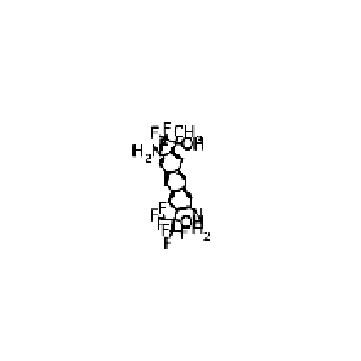 CC(O)(c1cc2cc3cc(N)c(C(O)(C(F)(F)F)C(F)(F)F)cc3cc2cc1N)C(F)(F)F